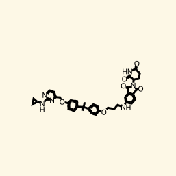 CC(C)(c1ccc(OCCCNc2ccc3c(c2)C(=O)N(C2CCC(=O)NC2=O)C3=O)cc1)c1ccc(OCc2ccnc(NC3CC3)n2)cc1